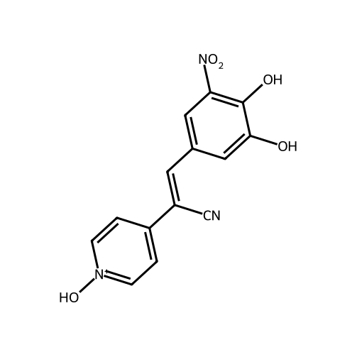 N#C/C(=C\c1cc(O)c(O)c([N+](=O)[O-])c1)c1cc[n+](O)cc1